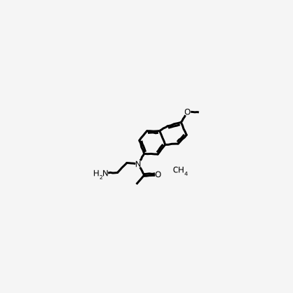 C.COc1ccc2cc(N(CCN)C(C)=O)ccc2c1